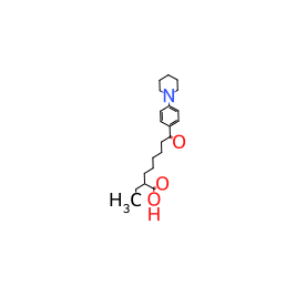 CCC(CCCCCC(=O)c1ccc(N2CCCCC2)cc1)C(=O)O